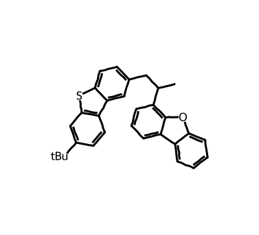 CC(Cc1ccc2sc3cc(C(C)(C)C)ccc3c2c1)c1cccc2c1oc1ccccc12